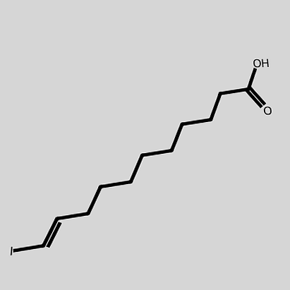 O=C(O)CCCCCCCCC=CI